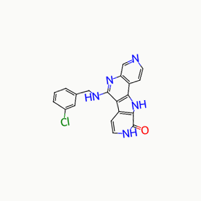 O=c1[nH]ccc2c1[nH]c1c3ccncc3nc(NCc3cccc(Cl)c3)c21